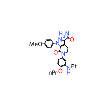 CCCOc1ccc(N2CCc3c(C(N)=O)nn(-c4ccc(OC)cc4)c3C2=O)cc1NCC